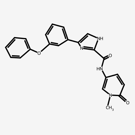 Cn1cc(NC(=O)c2nc(-c3cccc(Oc4ccccc4)c3)c[nH]2)ccc1=O